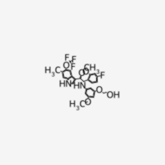 COc1cc(NC(C(=O)c2c[nH]c3cc(C)c(OC(F)(F)F)cc23)c2ccc(F)cc2OC)cc(OCCO)c1